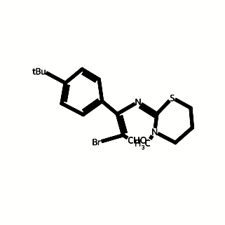 CN1CCCS/C1=N/C(=C(/Br)C=O)c1ccc(C(C)(C)C)cc1